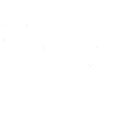 CC(C)(C)OC(=O)NC1COc2sc(N)c(C(=O)NCC3CC3)c2C1